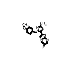 COc1ccc(Cn2nc(C)nc2-c2cn3cc(F)cnc3n2)cc1